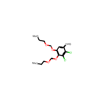 COCCOCOc1cc(C=O)c(Cl)c(Cl)c1OCOCCOC